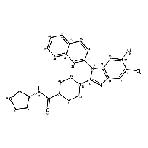 O=C(N[C@@H]1CCOC1)C1CCN(c2nc3cc(Cl)c(Cl)cc3n2-c2ccc3ccccc3n2)CC1